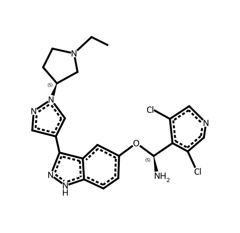 CCN1CC[C@H](n2cc(-c3n[nH]c4ccc(O[C@H](N)c5c(Cl)cncc5Cl)cc34)cn2)C1